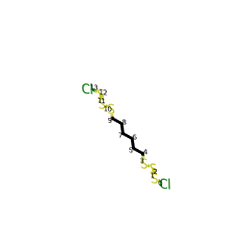 ClSSSCCCCCCSSSCl